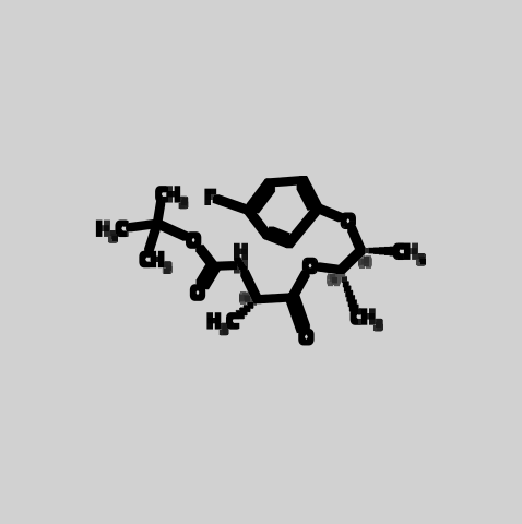 C[C@H](NC(=O)OC(C)(C)C)C(=O)O[C@@H](C)[C@@H](C)Oc1ccc(F)cc1